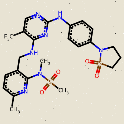 Cc1ccc(CNc2nc(Nc3ccc(N4CCCS4(=O)=O)cc3)ncc2C(F)(F)F)c(N(C)S(C)(=O)=O)n1